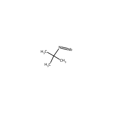 CC(C)(C)[N]=[Nb]